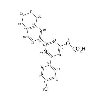 O=C(O)Oc1cc(-c2ccc(Cl)cc2)nc(-c2ccc3c(c2)CCCC3)c1